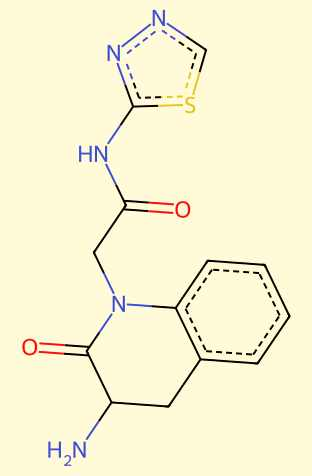 NC1Cc2ccccc2N(CC(=O)Nc2nncs2)C1=O